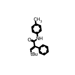 Cc1ccc(NC(=O)/C(=C/C(C)(C)C)c2ccccc2)cc1